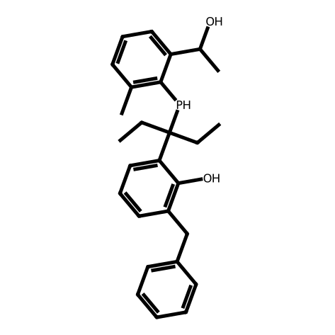 CCC(CC)(Pc1c(C)cccc1C(C)O)c1cccc(Cc2ccccc2)c1O